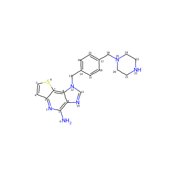 Nc1nc2ccsc2c2c1ncn2Cc1ccc(CN2CCNCC2)cc1